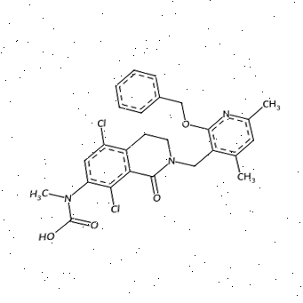 Cc1cc(C)c(CN2CCc3c(Cl)cc(N(C)C(=O)O)c(Cl)c3C2=O)c(OCc2ccccc2)n1